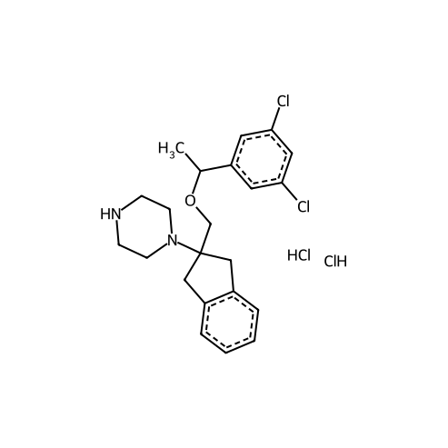 CC(OCC1(N2CCNCC2)Cc2ccccc2C1)c1cc(Cl)cc(Cl)c1.Cl.Cl